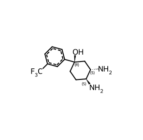 N[C@H]1CC[C@](O)(c2cccc(C(F)(F)F)c2)C[C@@H]1N